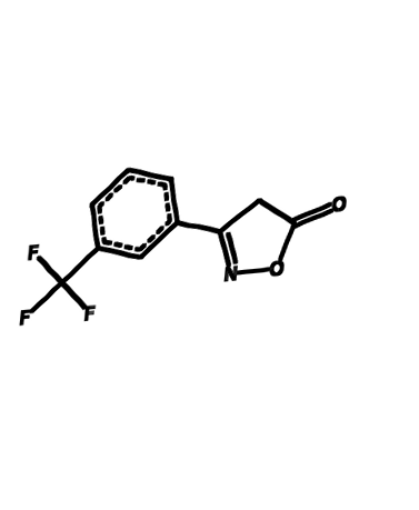 O=C1CC(c2cccc(C(F)(F)F)c2)=NO1